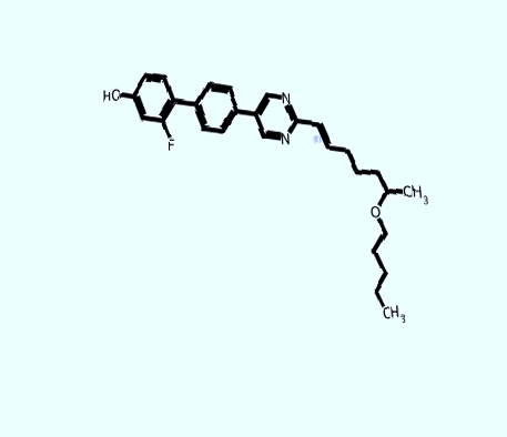 CCCCCOC(C)CCC/C=C/c1ncc(-c2ccc(-c3ccc(O)cc3F)cc2)cn1